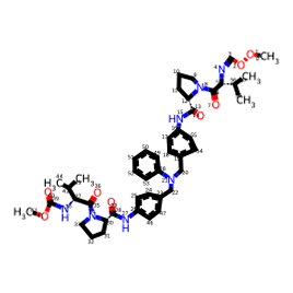 COO/C=N\[C@@H](C(=O)N1CCC[C@H]1C(=O)Nc1ccc(CN(Cc2ccc(NC(=O)[C@@H]3CCCN3C(=O)[C@H](NC(=O)OC)C(C)C)cc2)c2ccccc2)cc1)C(C)C